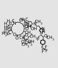 CC[C@H]1OC(=O)[C@H](C)C([C@H]2C[C@@](C)(OC)[C@@H](O)[C@H](C)O2)[C@H](C)[C@@H](O[C@@H]2O[C@H](C)C[C@H](N(C)CCc3cn([C@H](CF)[C@H](OC)c4ccc(SC(F)(F)F)cc4)nn3)[C@H]2O)[C@](C)(O)C[C@@H](C)CN(C)[C@H](C)[C@@H](O)[C@]1(C)O